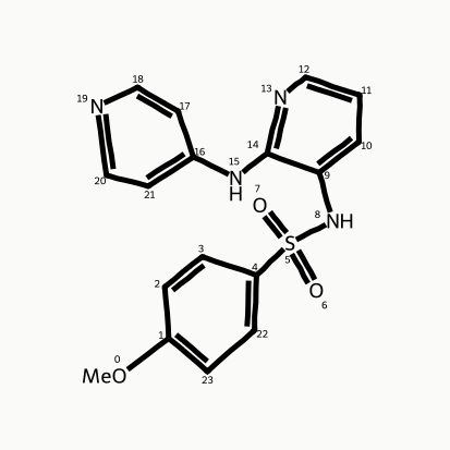 COc1ccc(S(=O)(=O)Nc2cccnc2Nc2ccncc2)cc1